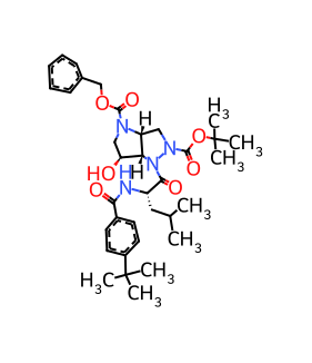 CC(C)C[C@H](NC(=O)c1ccc(C(C)(C)C)cc1)C(=O)N1[C@H]2[C@@H](CN1C(=O)OC(C)(C)C)N(C(=O)OCc1ccccc1)C[C@@H]2O